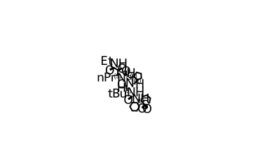 CCC[C@H](NC(=O)[C@@H]1[C@H]2CCC[C@H]2CN1C(=O)[C@@H](NC(=O)NC1([C@@H]2CCCCS2(=O)=O)CCCCC1)C(C)(C)C)C(=O)C(=O)NCC